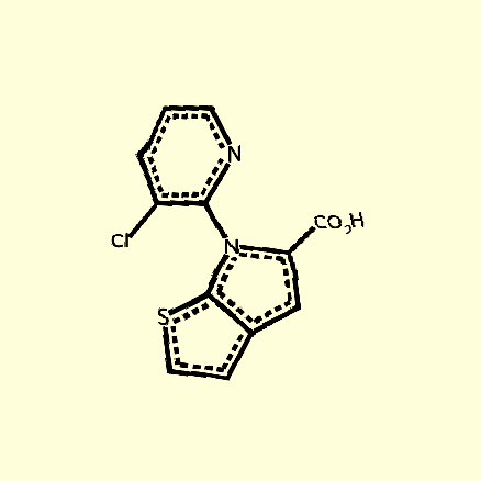 O=C(O)c1cc2ccsc2n1-c1ncccc1Cl